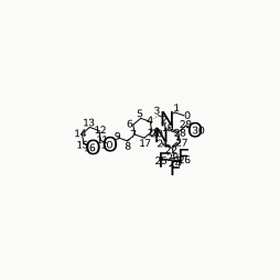 CCN(C[C@H]1CC[C@H](CCOC2CCCCO2)CC1)c1ncc(C(F)(F)F)cc1C=O